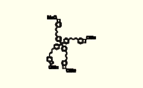 COC1Cc2cc(CCCc3ccc(C(c4ccc(CCCc5ccc6c(c5)C(OC)C6)cc4)(c4ccc(CCCc5ccc6c(c5)C(OC)C6)cc4)c4ccc(CCCc5ccc6c(c5)C(OC)C6)cc4)cc3)ccc21